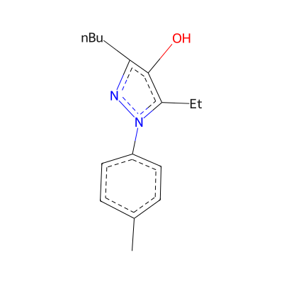 CCCCc1nn(-c2ccc(C)cc2)c(CC)c1O